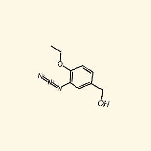 CCOc1ccc(CO)cc1N=[N+]=[N-]